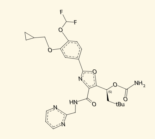 CC(C)(C)C[C@H](OC(N)=O)c1oc(-c2ccc(OC(F)F)c(OCC3CC3)c2)nc1C(=O)NCc1ncccn1